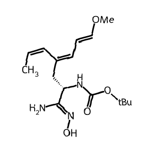 C\C=C/C(=C\C=C\OC)C[C@H](NC(=O)OC(C)(C)C)/C(N)=N/O